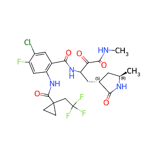 CNC(=O)C(=O)C(C[C@@H]1C[C@@H](C)NC1=O)NC(=O)c1cc(Cl)c(F)cc1NC(=O)C1(CC(F)(F)F)CC1